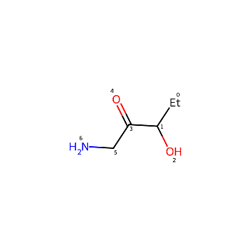 CCC(O)C(=O)CN